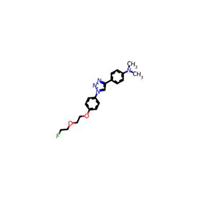 CN(C)c1ccc(-c2cn(-c3ccc(OCCOCCF)cc3)nn2)cc1